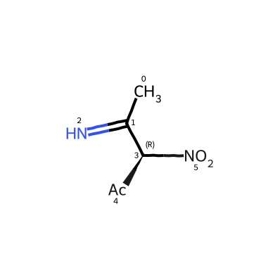 CC(=N)[C@H](C(C)=O)[N+](=O)[O-]